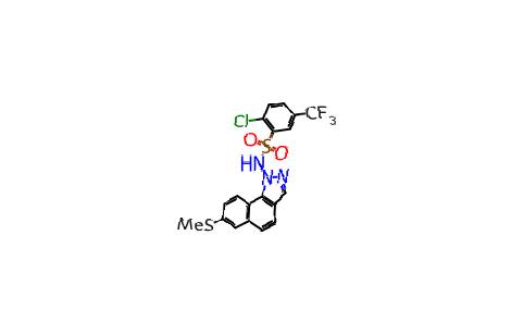 CSc1ccc2c(ccc3cnn(NS(=O)(=O)c4cc(C(F)(F)F)ccc4Cl)c32)c1